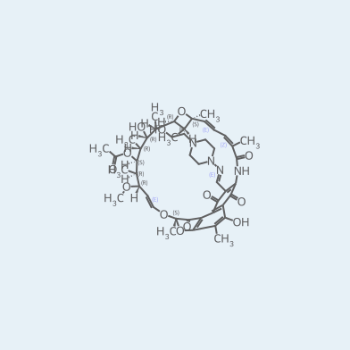 CO[C@H]1/C=C/O[C@@]2(C)Oc3c(C)c(O)c4c(c3C2=O)C(=O)C(/C=N/N2CCN(CCO)CC2)=C(NC(=O)/C(C)=C\C=C\[C@]2(C)O[C@H]([C@@H](C)[C@@H](O)[C@@H](C)[C@H](OC(C)=O)[C@@H]1C)[C@H]2C)C4=O